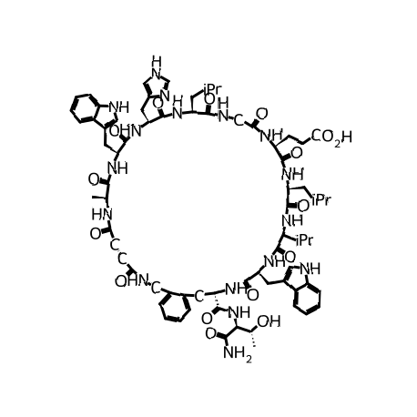 CC(C)C[C@@H]1NC(=O)[C@H](Cc2c[nH]cn2)NC(=O)[C@H](Cc2c[nH]c3ccccc23)NC(=O)[C@H](C)NC(=O)CCC(=O)NCc2ccccc2C[C@@H](C(=O)N[C@H](C(N)=O)[C@@H](C)O)NC(=O)[C@H](Cc2c[nH]c3ccccc23)NC(=O)C(C(C)C)NC(=O)[C@H](CC(C)C)NC(=O)[C@H](CCC(=O)O)NC(=O)CNC1=O